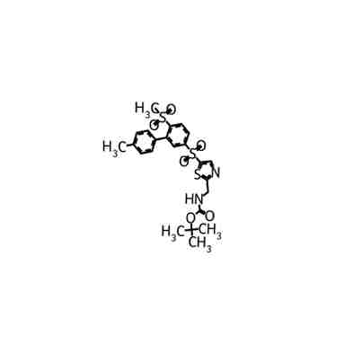 Cc1ccc(-c2cc(S(=O)(=O)c3cnc(CNC(=O)OC(C)(C)C)s3)ccc2S(C)(=O)=O)cc1